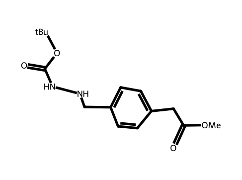 COC(=O)Cc1ccc(CNNC(=O)OC(C)(C)C)cc1